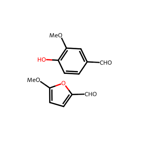 COc1cc(C=O)ccc1O.COc1ccc(C=O)o1